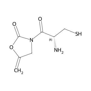 C=C1CN(C(=O)[C@@H](N)CS)C(=O)O1